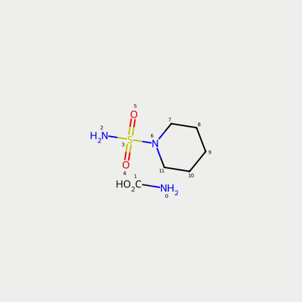 NC(=O)O.NS(=O)(=O)N1CCCCC1